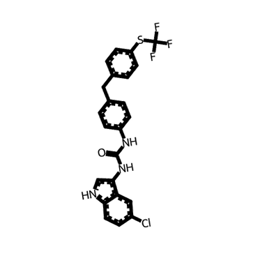 O=C(Nc1ccc(Cc2ccc(SC(F)(F)F)cc2)cc1)Nc1c[nH]c2ccc(Cl)cc12